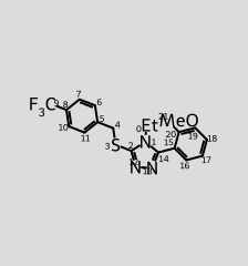 CCn1c(SCc2ccc(C(F)(F)F)cc2)nnc1-c1ccccc1OC